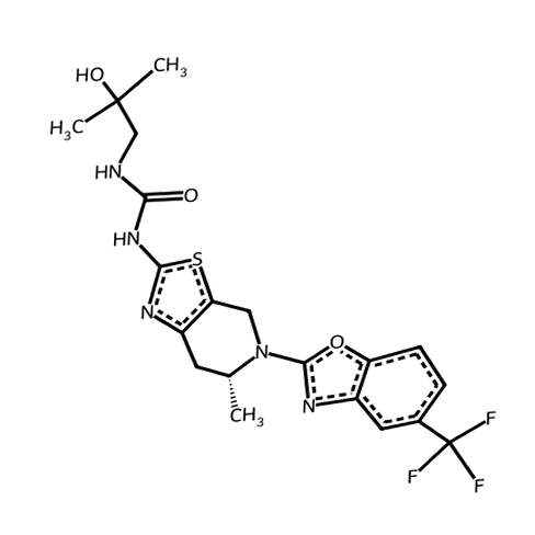 C[C@@H]1Cc2nc(NC(=O)NCC(C)(C)O)sc2CN1c1nc2cc(C(F)(F)F)ccc2o1